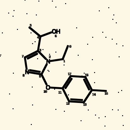 CCn1c(C(C)O)cnc1Oc1ccc(C)cc1